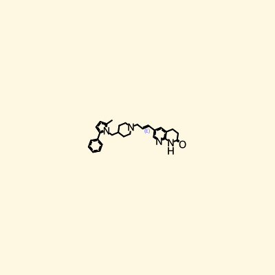 Cc1ccc(-c2ccccc2)n1CC1CCN(C/C=C/c2cnc3c(c2)CCC(=O)N3)CC1